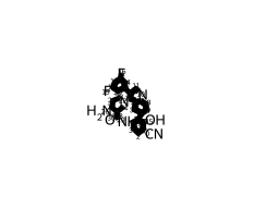 N#Cc1cccc(-c2ccc3ncc(-c4cc(F)cc(F)c4)c(N4CC[C@@H](N)C(C(N)=O)C4)c3c2)c1O